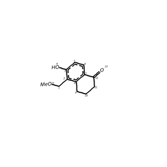 COCc1c(O)ccc2c1CCCC2=O